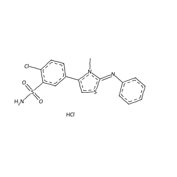 Cl.Cn1c(-c2ccc(Cl)c(S(N)(=O)=O)c2)csc1=Nc1ccccc1